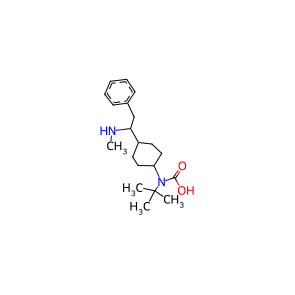 CNC(Cc1ccccc1)C1CCC(N(C(=O)O)C(C)(C)C)CC1